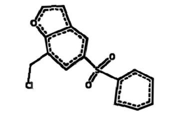 O=S(=O)(c1ccccc1)c1cc(CCl)c2occc2c1